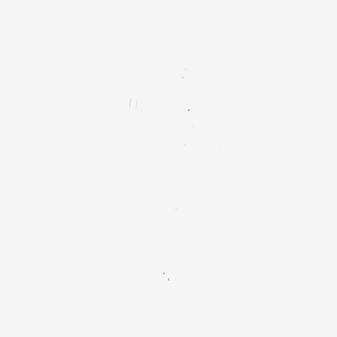 CCC(=CCCC(CC)(CC)O[Si](CC)(CC)CC)c1cncc(CO)c1